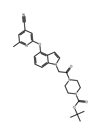 Cc1cc(C#N)cc(Oc2cccc3c2ccn3CC(=O)N2CCN(C(=O)OC(C)(C)C)CC2)n1